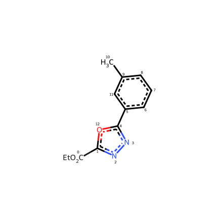 CCOC(=O)c1nnc(-c2cccc(C)c2)o1